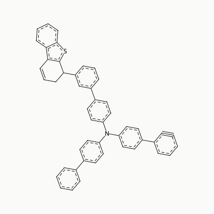 c1cccc(-c2ccc(N(c3ccc(-c4ccccc4)cc3)c3ccc(-c4cccc(C5CC=Cc6c5sc5ccccc65)c4)cc3)cc2)c#1